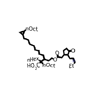 CC/C=C\CC1C(=O)CCC1CC(=O)OCCC(CCCCCCCCC1CC1CCCCCCCC)C(CCCCCC)(CCCCCCCC)C(=O)O